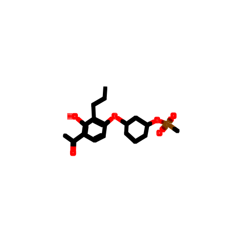 CCCc1c(OC2CCCC(OS(C)(=O)=O)C2)ccc(C(C)=O)c1O